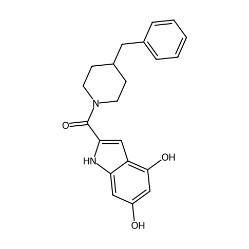 O=C(c1cc2c(O)cc(O)cc2[nH]1)N1CCC(Cc2ccccc2)CC1